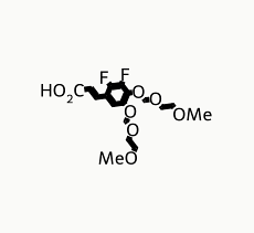 COCCOCOc1cc(C=CC(=O)O)c(F)c(F)c1OCOCCOC